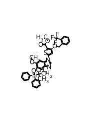 COC(=O)c1sc(-n2cnc3cc(O[Si](c4ccccc4)(c4ccccc4)C(C)(C)C)c(OC)cc32)cc1OCc1ccccc1C(F)(F)F